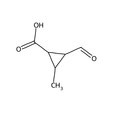 CC1C(C=O)C1C(=O)O